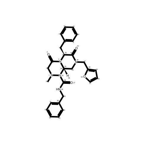 CN1CC(=O)N2[C@@H](Cc3ccccc3)C(=O)N(Cc3ccco3)C[C@@H]2N1C(=O)NCc1ccccc1